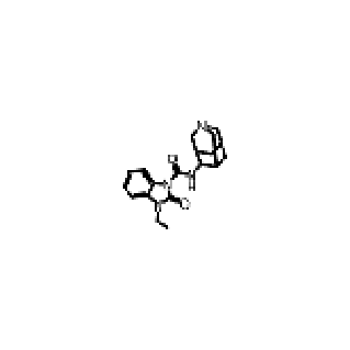 CCn1c(=O)n(C(=O)NC2C3CC4CC2CN(C4)C3)c2ccccc21